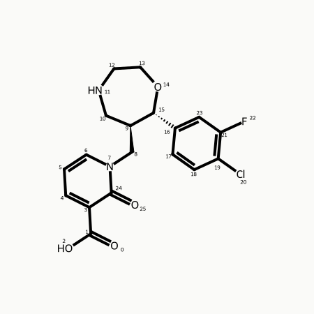 O=C(O)c1cccn(C[C@H]2CNCCO[C@@H]2c2ccc(Cl)c(F)c2)c1=O